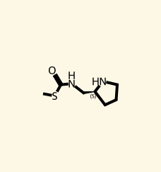 CSC(=O)NC[C@@H]1CCCN1